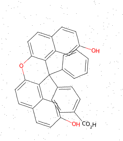 O=C(O)c1ccc(C2(c3ccccc3)c3c(ccc4ccc(O)cc34)Oc3ccc4ccc(O)cc4c32)cc1